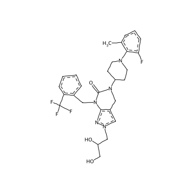 Cc1cccc(F)c1N1CCC(N2Cc3cn(CC(O)CO)nc3N(Cc3ccccc3C(F)(F)F)C2=O)CC1